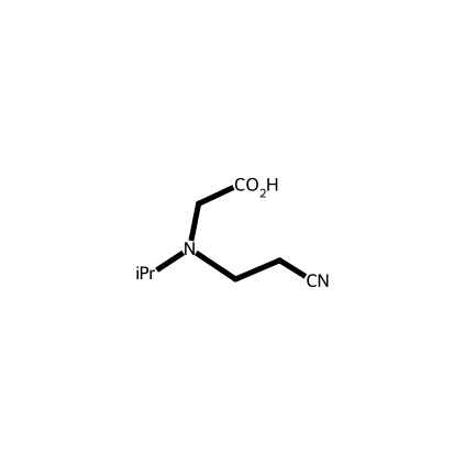 CC(C)N(CCC#N)CC(=O)O